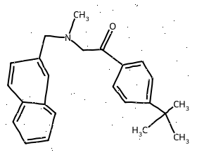 CN(CC(=O)c1ccc(C(C)(C)C)cc1)Cc1ccc2ccccc2c1